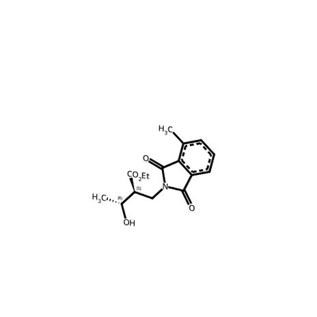 CCOC(=O)[C@@H](CN1C(=O)c2cccc(C)c2C1=O)[C@@H](C)O